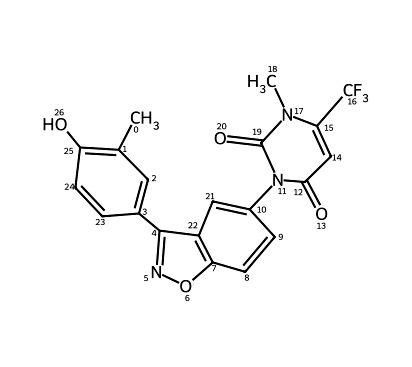 Cc1cc(-c2noc3ccc(-n4c(=O)cc(C(F)(F)F)n(C)c4=O)cc23)ccc1O